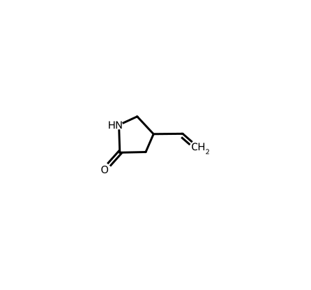 C=CC1CNC(=O)C1